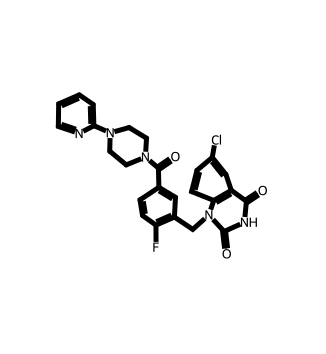 O=C(c1ccc(F)c(Cn2c(=O)[nH]c(=O)c3cc(Cl)ccc32)c1)N1CCN(c2ccccn2)CC1